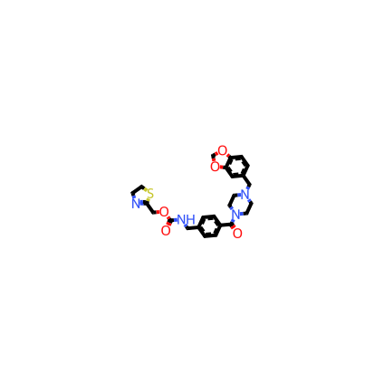 O=C(NCc1ccc(C(=O)N2CCN(Cc3ccc4c(c3)OCO4)CC2)cc1)OCC1=NCCS1